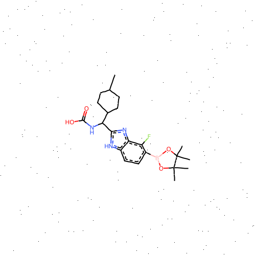 CC1CCC(C(NC(=O)O)c2nc3c(F)c(B4OC(C)(C)C(C)(C)O4)ccc3[nH]2)CC1